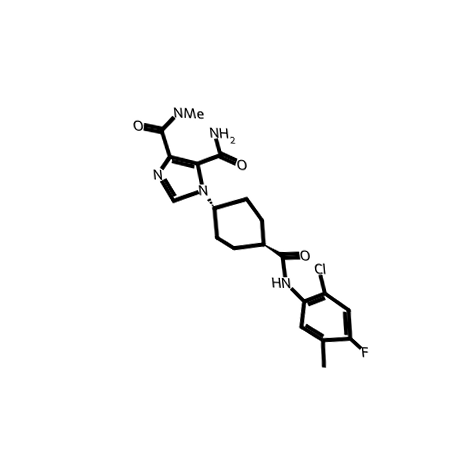 CNC(=O)c1ncn([C@H]2CC[C@H](C(=O)Nc3cc(C)c(F)cc3Cl)CC2)c1C(N)=O